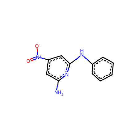 Nc1cc([N+](=O)[O-])cc(Nc2ccccc2)n1